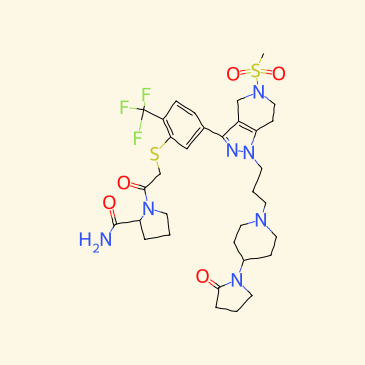 CS(=O)(=O)N1CCc2c(c(-c3ccc(C(F)(F)F)c(SCC(=O)N4CCCC4C(N)=O)c3)nn2CCCN2CCC(N3CCCC3=O)CC2)C1